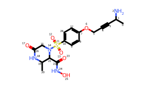 CC(N)C#CCOc1ccc(S(=O)(=O)N2CC(=O)NC(C)C2C(=O)NO)cc1